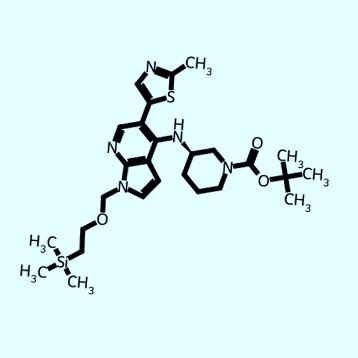 Cc1ncc(-c2cnc3c(ccn3COCC[Si](C)(C)C)c2N[C@@H]2CCCN(C(=O)OC(C)(C)C)C2)s1